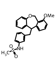 COc1cccc2c1COc1ccccc1C2Cc1cccc(NS(C)(=O)=O)c1